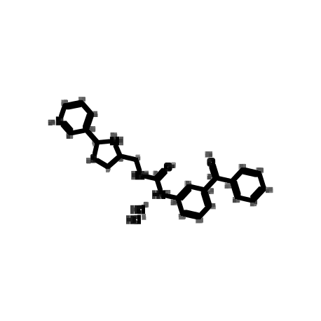 Cl.Cl.O=C(NCC1CSC(c2cccnc2)N1)Nc1cccc(C(=O)c2ccccc2)c1